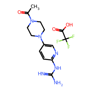 CC(=O)N1CCN(c2ccc(NC(=N)N)nc2)CC1.O=C(O)C(F)(F)F